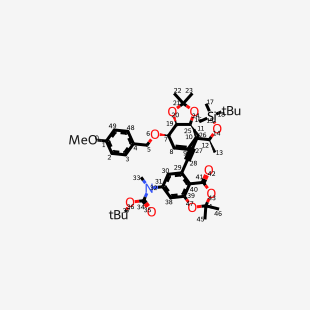 COc1ccc(CO[C@H](/C=C\[C@@H](C)[C@H](C)O[Si](C)(C)C(C)(C)C)[C@H]2OC(C)(C)O[C@H]2CC#Cc2cc(N(C)C(=O)OC(C)(C)C)cc3c2C(=O)OC(C)(C)O3)cc1